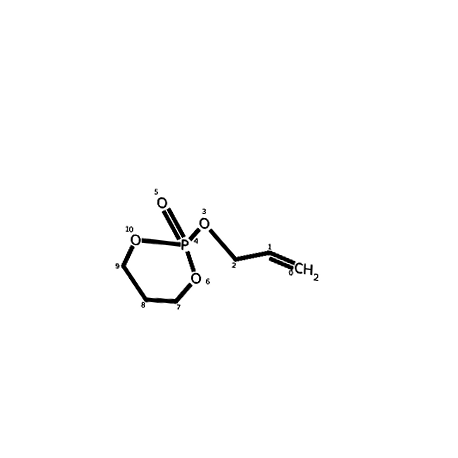 C=CCOP1(=O)OCCCO1